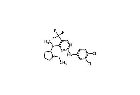 CCN1CCCC1N(C)c1nc(Nc2ccc(Cl)c(Cl)c2)ncc1C(F)(F)F